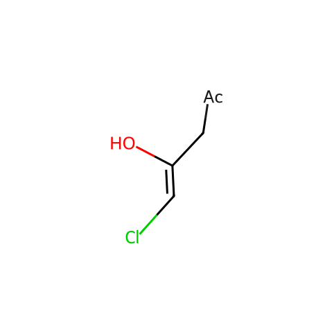 CC(=O)CC(O)=CCl